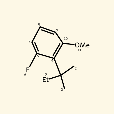 CCC(C)(C)c1c(F)cccc1OC